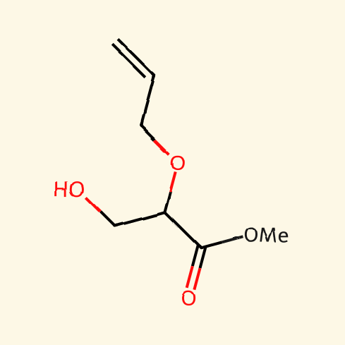 C=CCOC(CO)C(=O)OC